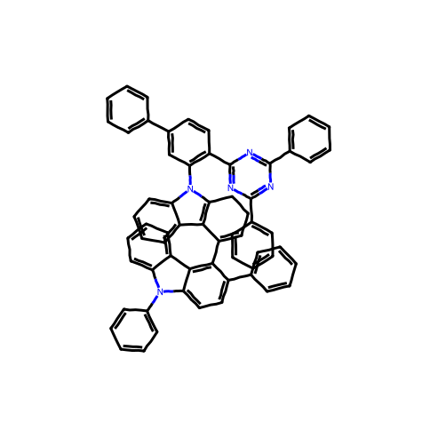 C1=C(c2c(-c3ccccc3)ccc3c2c2ccccc2n3-c2ccccc2)c2c(n(-c3cc(-c4ccccc4)ccc3-c3nc(-c4ccccc4)nc(-c4ccccc4)n3)c3ccccc23)CC1